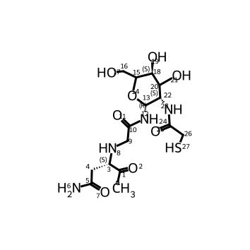 CC(=O)[C@H](CC(N)=O)NCC(=O)N[C@@H]1OC(CO)[C@@H](O)C(O)[C@@H]1NC(=O)CS